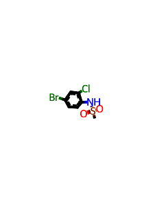 CS(=O)(=O)Nc1ccc(Br)cc1Cl